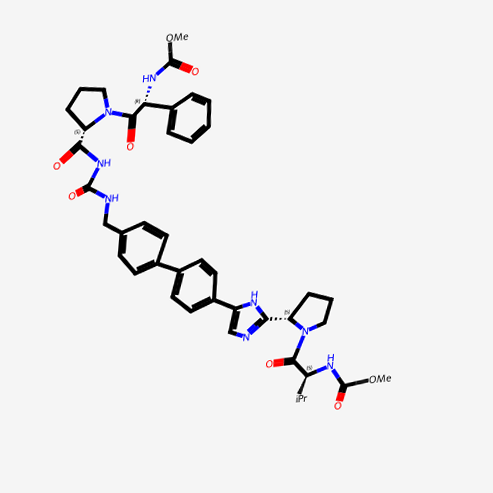 COC(=O)N[C@H](C(=O)N1CCC[C@H]1c1ncc(-c2ccc(-c3ccc(CNC(=O)NC(=O)[C@@H]4CCCN4C(=O)[C@H](NC(=O)OC)c4ccccc4)cc3)cc2)[nH]1)C(C)C